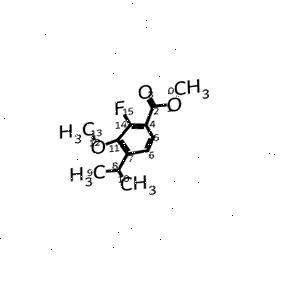 COC(=O)c1ccc(C(C)C)c(OC)c1F